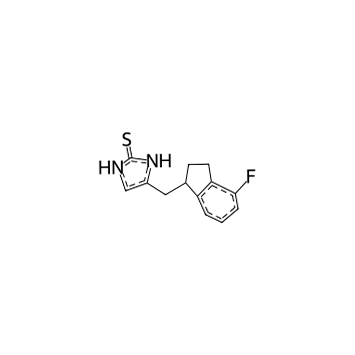 Fc1cccc2c1CCC2Cc1c[nH]c(=S)[nH]1